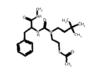 CNC(=O)C(Cc1ccccc1)NC(=O)N(CCSC(C)=O)CCC(C)(C)C